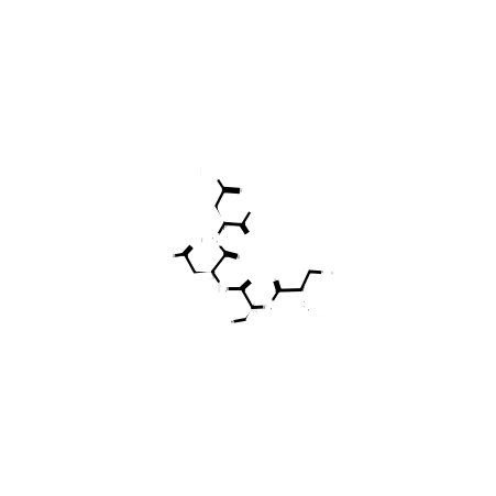 N[C@@H](CO)C(=O)N[C@@H](CO)C(=O)N[C@@H](CC(=O)O)C(=O)N[C@@H](CC(=O)O)C(=O)O